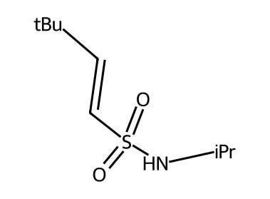 CC(C)NS(=O)(=O)/C=C/C(C)(C)C